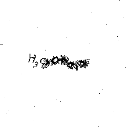 CCC(=O)N1CCC(c2noc(-c3ccnc(N4CCC(F)(F)C4)c3)n2)CC1